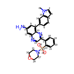 Cn1ccc2ccc(-c3cc(N)cc4ncc(-c5ccccc5S(=O)(=O)N5CCOCC5)nc34)cc21